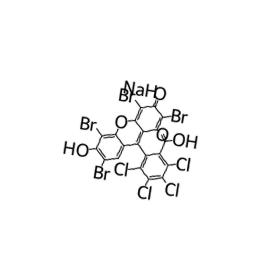 O=C(O)c1c(Cl)c(Cl)c(Cl)c(Cl)c1-c1c2cc(Br)c(=O)c(Br)c-2oc2c(Br)c(O)c(Br)cc12.[NaH]